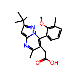 COc1c(C)cccc1-c1c(CC(=O)O)c(C)nc2cc(C(C)(C)C)nn12